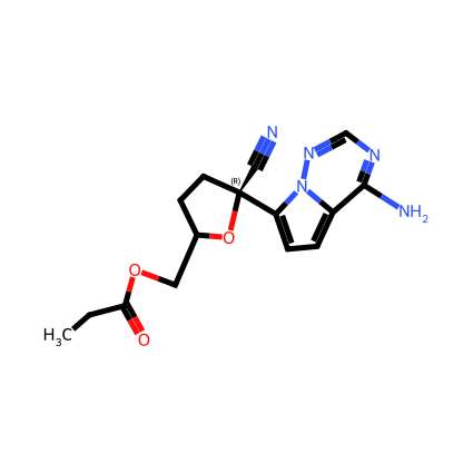 CCC(=O)OCC1CC[C@](C#N)(c2ccc3c(N)ncnn23)O1